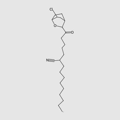 [CH2]CCCCCCCCC(C#N)CCCCC(=O)[C]1OC2CCC1CC2Cl